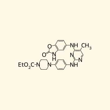 CCOC(=O)N1CCN(c2ccc(Nc3ncc(C)c(Nc4ccc5oc(=O)[nH]c5c4)n3)cc2)CC1